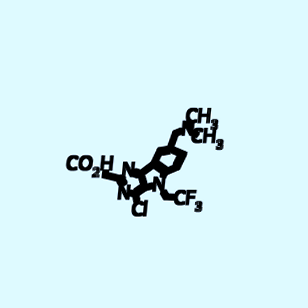 CN(C)Cc1ccc2c(c1)c1nc(CC(=O)O)nc(Cl)c1n2CC(F)(F)F